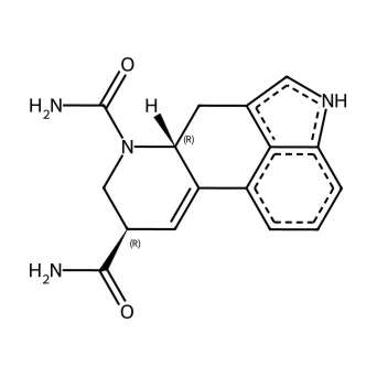 NC(=O)[C@@H]1C=C2c3cccc4[nH]cc(c34)C[C@H]2N(C(N)=O)C1